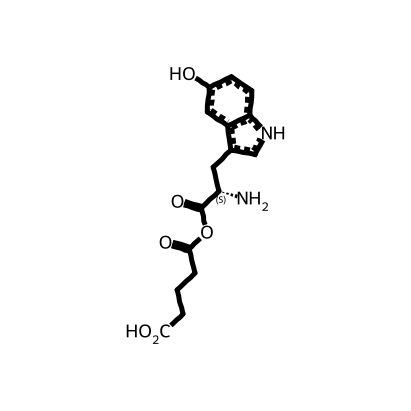 N[C@@H](Cc1c[nH]c2ccc(O)cc12)C(=O)OC(=O)CCCC(=O)O